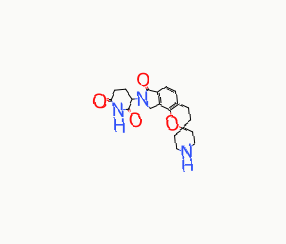 O=C1CCC(N2Cc3c(ccc4c3OC3(CCNCC3)CC4)C2=O)C(=O)N1